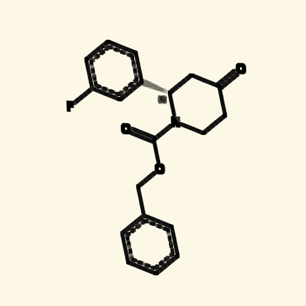 O=C1CCN(C(=O)OCc2ccccc2)[C@H](c2cccc(F)c2)C1